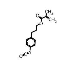 C=C(C)C(=O)OCCCc1ccc(N=C=O)cc1